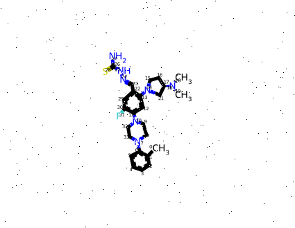 Cc1ccccc1N1CCN(c2cc(N3CC[C@@H](N(C)C)C3)c(/C=N/NC(N)=S)cc2F)CC1